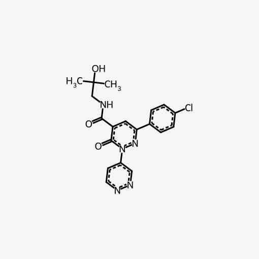 CC(C)(O)CNC(=O)c1cc(-c2ccc(Cl)cc2)nn(-c2ccnnc2)c1=O